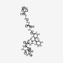 CC(C)(C)OC(=O)NCCOCCC(=O)NCCOc1cccc([C@@H](c2ccccc2)C2CCN(C(=O)N3CCC4OCC(=O)N[C@@H]4C3)CC2)c1